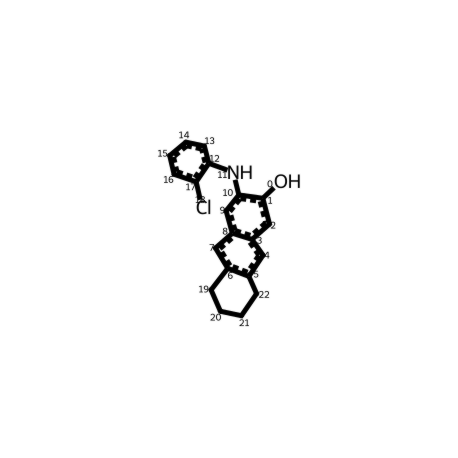 Oc1cc2cc3c(cc2cc1Nc1ccccc1Cl)CCCC3